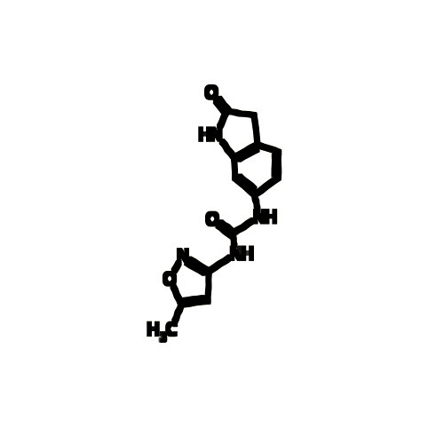 Cc1cc(NC(=O)Nc2ccc3c(c2)NC(=O)C3)no1